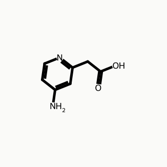 Nc1ccnc(CC(=O)O)c1